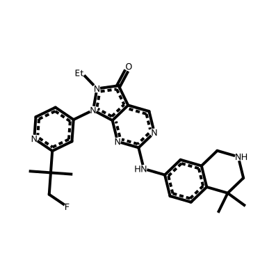 CCn1c(=O)c2cnc(Nc3ccc4c(c3)CNCC4(C)C)nc2n1-c1ccnc(C(C)(C)CF)c1